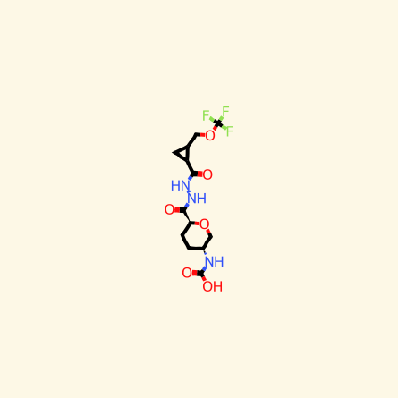 O=C(O)N[C@@H]1CC[C@@H](C(=O)NNC(=O)C2CC2COC(F)(F)F)OC1